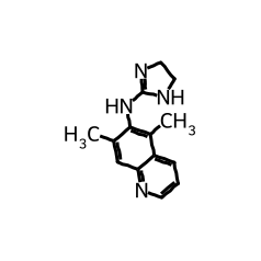 Cc1cc2ncccc2c(C)c1NC1=NCCN1